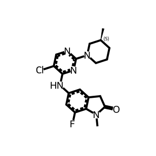 C[C@H]1CCCN(c2ncc(Cl)c(Nc3cc(F)c4c(c3)CC(=O)N4C)n2)C1